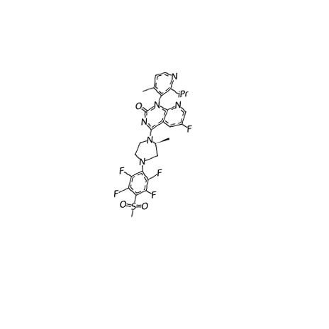 Cc1ccnc(C(C)C)c1-n1c(=O)nc(N2CCN(c3c(F)c(F)c(S(C)(=O)=O)c(F)c3F)C[C@@H]2C)c2cc(F)cnc21